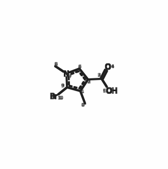 Cc1c(C(=O)O)cn(C)c1Br